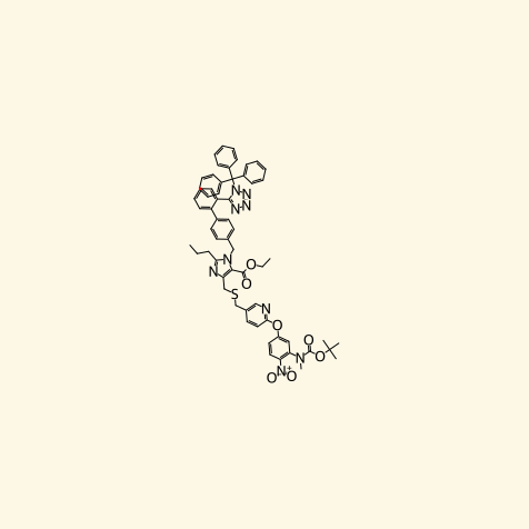 CCCc1nc(CSCc2ccc(Oc3ccc([N+](=O)[O-])c(N(C)C(=O)OC(C)(C)C)c3)nc2)c(C(=O)OCC)n1Cc1ccc(-c2ccccc2-c2nnnn2C(c2ccccc2)(c2ccccc2)c2ccccc2)cc1